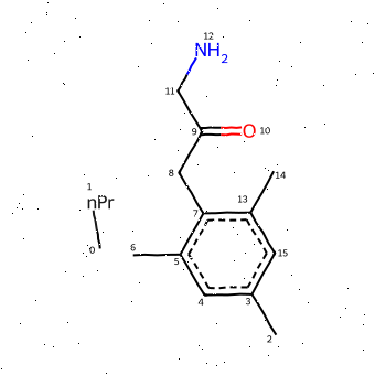 CCCC.Cc1cc(C)c(CC(=O)CN)c(C)c1